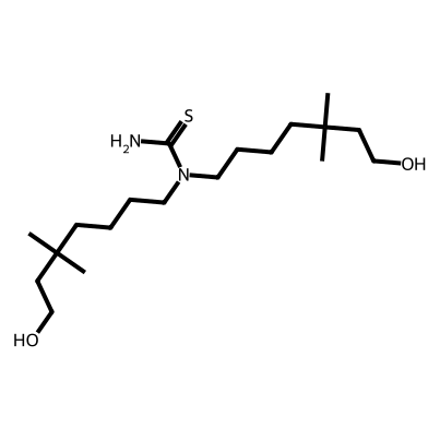 CC(C)(CCO)CCCCN(CCCCC(C)(C)CCO)C(N)=S